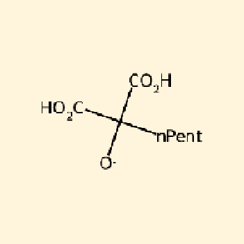 CCCCCC([O])(C(=O)O)C(=O)O